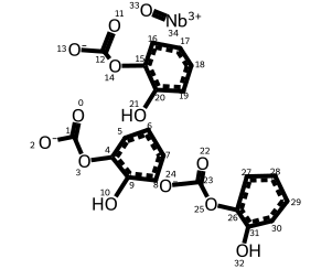 O=C([O-])Oc1ccccc1O.O=C([O-])Oc1ccccc1O.O=C([O-])Oc1ccccc1O.[O]=[Nb+3]